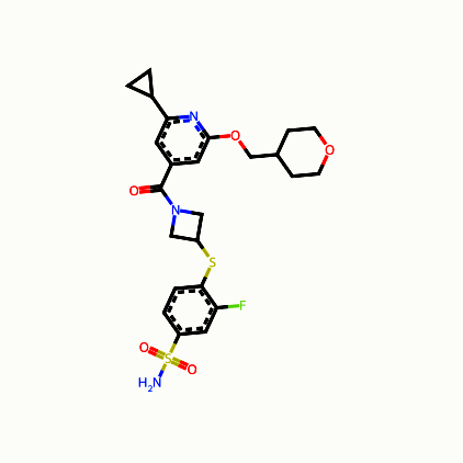 NS(=O)(=O)c1ccc(SC2CN(C(=O)c3cc(OCC4CCOCC4)nc(C4CC4)c3)C2)c(F)c1